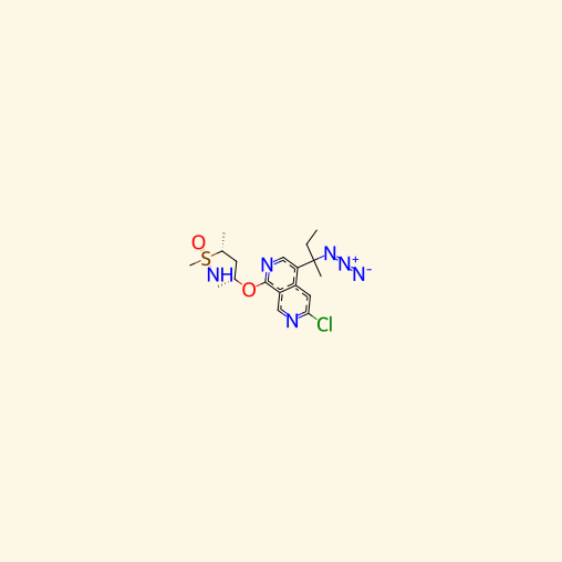 CCC(C)(N=[N+]=[N-])c1cnc(O[C@H](C)C[C@@H](C)S(C)(=N)=O)c2cnc(Cl)cc12